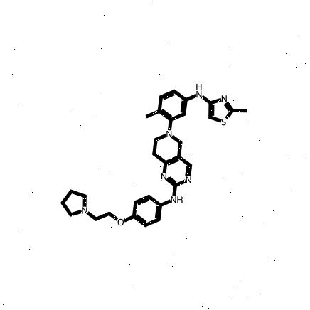 Cc1nc(Nc2ccc(C)c(N3CCc4nc(Nc5ccc(OCCN6CCCC6)cc5)ncc4C3)c2)cs1